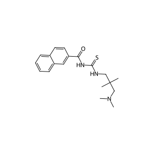 CN(C)CC(C)(C)CNC(=S)NC(=O)c1ccc2ccccc2c1